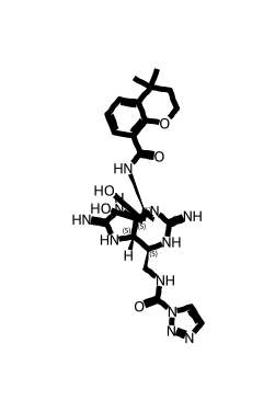 CC1(C)CCOc2c(C(=O)N[C@H]3CN4C(=N)N[C@@H](CNC(=O)n5ccnn5)[C@@H]5NC(=N)N[C@@]54C3(O)O)cccc21